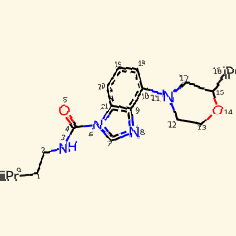 CC(C)CCNC(=O)n1cnc2c(N3CCOC(C(C)C)C3)cccc21